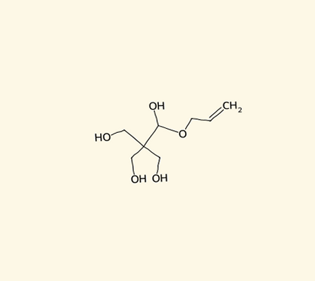 C=CCOC(O)C(CO)(CO)CO